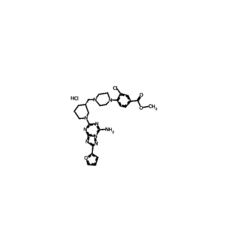 COC(=O)c1ccc(N2CCN(C[C@@H]3CCCN(c4nc(N)n5nc(-c6ccco6)nc5n4)C3)CC2)c(Cl)c1.Cl